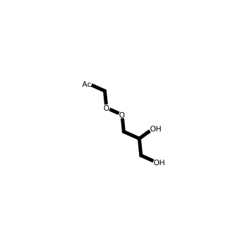 CC(=O)COOCC(O)CO